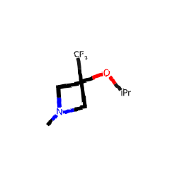 CC(C)OC1(C(F)(F)F)CN(C)C1